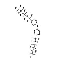 FC(F)(F)C(F)(F)C(F)(F)C(F)(F)C(F)(F)C(F)(F)c1ccc(Oc2ccc(C(F)(F)C(F)(F)C(F)(F)C(F)(F)C(F)(F)C(F)(F)F)cc2)cc1